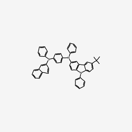 CC(C)(C)c1ccc2c(c1)c1cc(N(c3ccccc3)c3ccc(N(c4ccccc4)c4ccc5ccccc5c4)cc3)ccc1n2-c1ccccc1